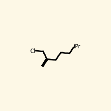 C=C(CCl)CCCC(C)C